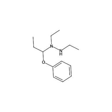 CCNN(CC)C(CC)Oc1ccccc1